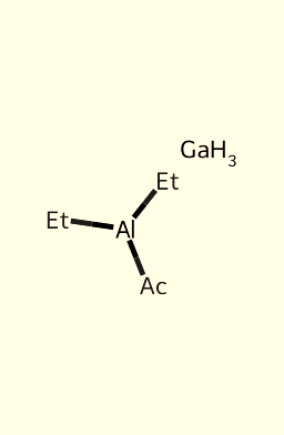 C[CH2][Al]([CH2]C)[C](C)=O.[GaH3]